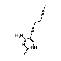 CC#CCCC#Cc1c[nH]c(=O)nc1N